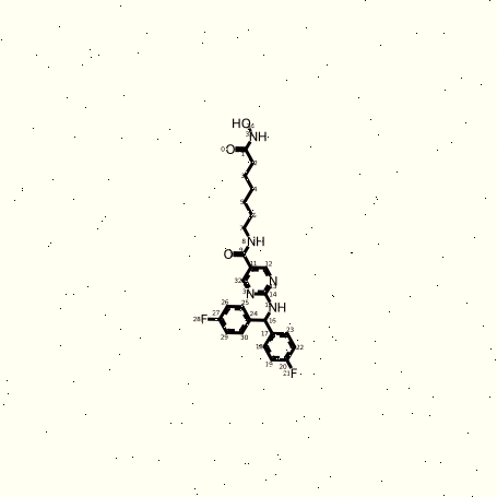 O=C(CCCCCCNC(=O)c1cnc(NC(c2ccc(F)cc2)c2ccc(F)cc2)nc1)NO